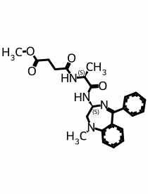 COC(=O)CCC(=O)N[C@@H](C)C(=O)N[C@@H]1CN(C)c2ccccc2C(c2ccccc2)=N1